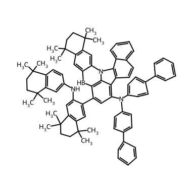 CC1(C)CCC(C)(C)c2cc(Nc3cc4c(cc3-c3cc(N(c5ccc(-c6ccccc6)cc5)c5ccc(-c6ccccc6)cc5)c5c6ccc7ccccc7c6n6c5c3Bc3cc5c(cc3-6)C(C)(C)CCC5(C)C)C(C)(C)CCC4(C)C)ccc21